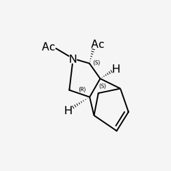 CC(=O)[C@@H]1[C@H]2C3C=CC(C3)[C@H]2CN1C(C)=O